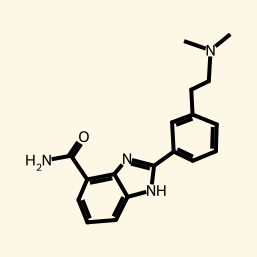 CN(C)CCc1cccc(-c2nc3c(C(N)=O)cccc3[nH]2)c1